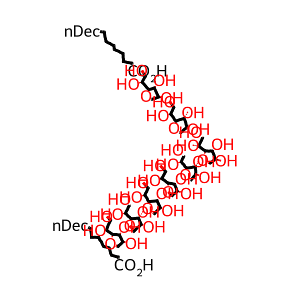 CCCCCCCCCCCCCCCCCC(=O)O.CCCCCCCCCCCCCCCCCC(=O)O.OC[C@@H](O)[C@H]1OC[C@H](O)[C@H]1O.OC[C@@H](O)[C@H]1OC[C@H](O)[C@H]1O.OC[C@@H](O)[C@H]1OC[C@H](O)[C@H]1O.OC[C@@H](O)[C@H]1OC[C@H](O)[C@H]1O.OC[C@@H](O)[C@H]1OC[C@H](O)[C@H]1O.OC[C@@H](O)[C@H]1OC[C@H](O)[C@H]1O.OC[C@@H](O)[C@H]1OC[C@H](O)[C@H]1O.OC[C@@H](O)[C@H]1OC[C@H](O)[C@H]1O